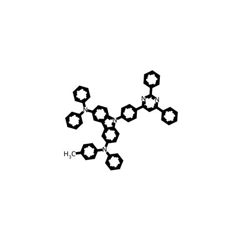 Cc1ccc(N(c2ccccc2)c2ccc3c(c2)c2cc(N(c4ccccc4)c4ccccc4)ccc2n3-c2ccc(-c3cc(-c4ccccc4)nc(-c4ccccc4)n3)cc2)cc1